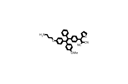 COc1ccc(C(=C(c2ccccc2)c2ccc(C(=C(C#N)C#N)c3cccs3)cc2)c2ccc(OCCCN)cc2)cc1